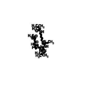 CCc1nn(CCCCCNC(=O)OC(C)(C)C)cc1Nc1nc(N2C[C@@H](F)[C@H](NC(=O)CCS(C)(=O)=O)C2)nc2c1ncn2C(C)(C)C